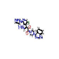 O=C(C(=O)N1CCN(c2ncnc3ccccc23)CC1)c1c[nH]c2c(-n3ccnn3)ncc(F)c12